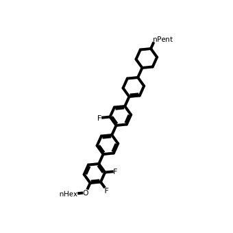 CCCCCCOc1ccc(-c2ccc(-c3ccc(C4=CCC(C5CCC(CCCCC)CC5)CC4)cc3F)cc2)c(F)c1F